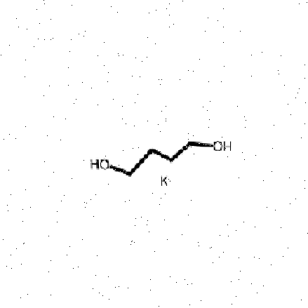 OCCCCO.[K]